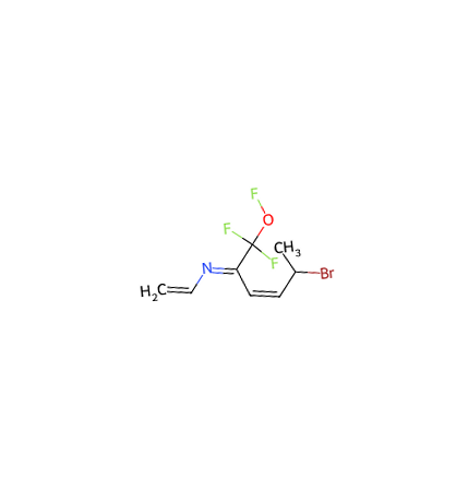 C=C/N=C(\C=C/C(C)Br)C(F)(F)OF